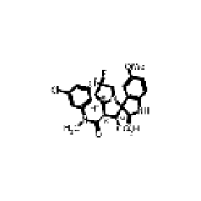 COc1ccc2c(c1)C1(C(=O)N2)[C@@H](C(=O)O)[C@@H](C(=O)N(C)c2cc(Cl)cc(Cl)c2)[C@H]2CC(F)(F)CN21